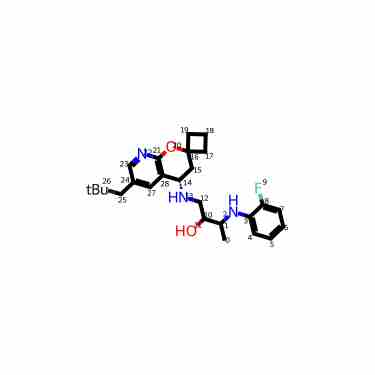 CC(Nc1ccccc1F)C(O)CN[C@H]1CC2(CCC2)Oc2ncc(CC(C)(C)C)cc21